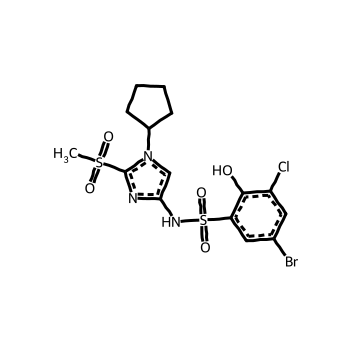 CS(=O)(=O)c1nc(NS(=O)(=O)c2cc(Br)cc(Cl)c2O)cn1C1CCCC1